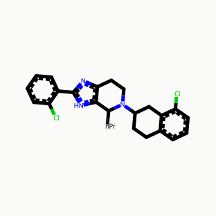 CCCC1c2[nH]c(-c3ccccc3Cl)nc2CCN1C1CCc2cccc(Cl)c2C1